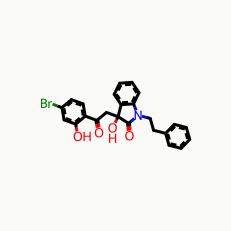 O=C(CC1(O)C(=O)N(CCc2ccccc2)c2ccccc21)c1ccc(Br)cc1O